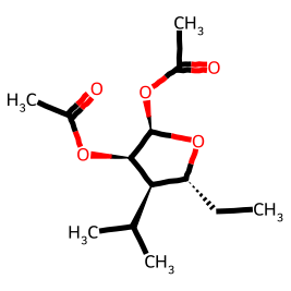 CC[C@H]1O[C@H](OC(C)=O)[C@H](OC(C)=O)[C@@H]1C(C)C